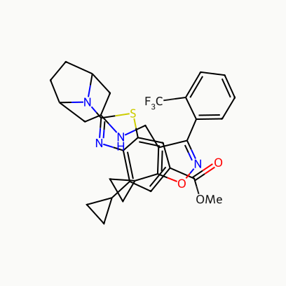 COC(=O)c1cc(C2CC2)c2nc(N3C4CCC3CC(NCc3c(-c5ccccc5C(F)(F)F)noc3C3CC3)C4)sc2c1